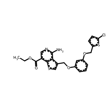 CCOC(=O)c1cnc(N)c2c(COc3cccc(OCc4ccc(Cl)s4)c3)csc12